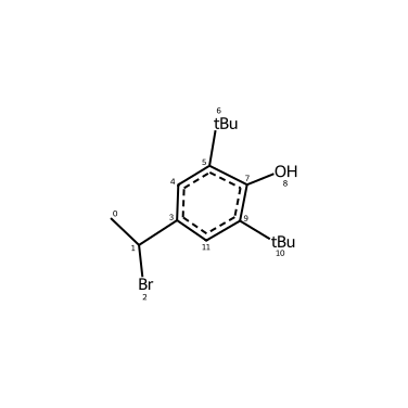 CC(Br)c1cc(C(C)(C)C)c(O)c(C(C)(C)C)c1